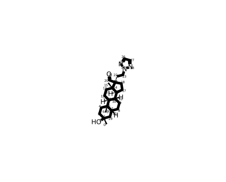 C[C@@]1(O)CC[C@@]2(C)[C@H](CC[C@@H]3[C@@H]2CC[C@@]2(C)[C@H]3CC[C@@]2(C=O)CCn2nccn2)C1